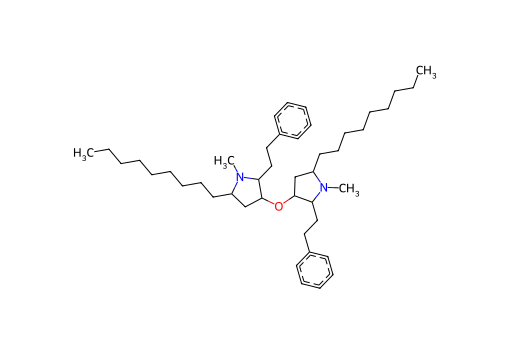 CCCCCCCCCC1CC(OC2CC(CCCCCCCCC)N(C)C2CCc2ccccc2)C(CCc2ccccc2)N1C